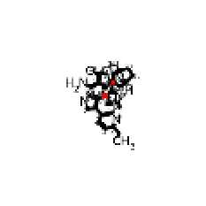 CCc1ccc(-c2cnn3c(N)c(C(C)=O)c([C@H]4C[C@H]5CC[C@@H](C4)N5C(=O)c4nnc[nH]4)nc23)cn1